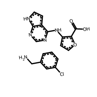 NCc1cccc(Cl)c1.O=C(O)c1occc1Nc1ncnc2[nH]ccc12